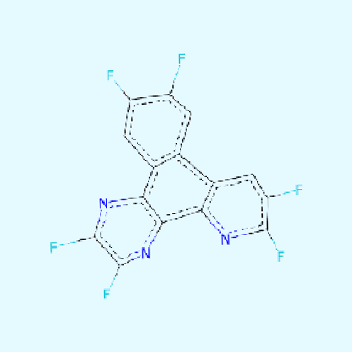 Fc1cc2c3cc(F)c(F)nc3c3nc(F)c(F)nc3c2cc1F